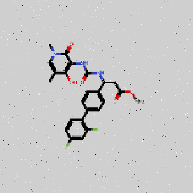 Cc1cn(C)c(=O)c(NC(=O)N[C@@H](CC(=O)OC(C)(C)C)c2ccc(-c3ccc(F)cc3F)cc2)c1O